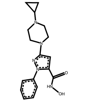 O=C(NO)c1cc(N2CCN(C3CC3)CC2)nn1-c1ccccc1